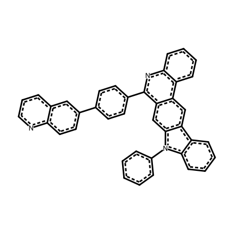 c1ccc(-n2c3ccccc3c3cc4c(cc32)c(-c2ccc(-c3ccc5ncccc5c3)cc2)nc2ccccc24)cc1